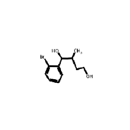 CC(CCO)C(O)c1ccccc1Br